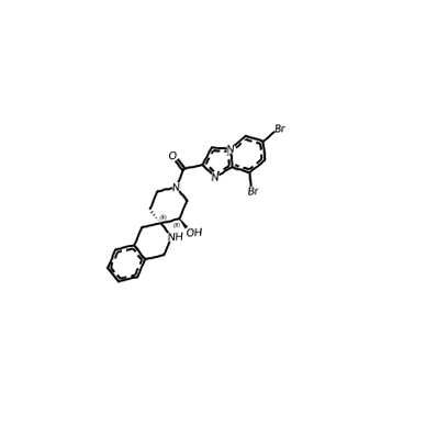 O=C(c1cn2cc(Br)cc(Br)c2n1)N1CC[C@]2(Cc3ccccc3CN2)[C@H](O)C1